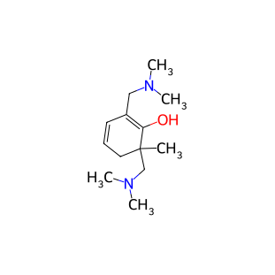 CN(C)CC1=C(O)C(C)(CN(C)C)CC=C1